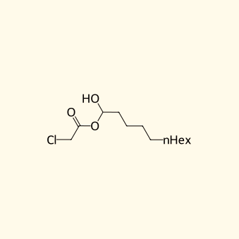 CCCCCCCCCCC(O)OC(=O)CCl